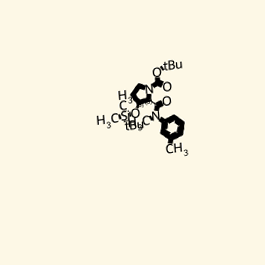 Cc1cccc(N(C)C(=O)[C@@H]2[C@@H](O[Si](C)(C)C(C)(C)C)CCN2C(=O)OC(C)(C)C)c1